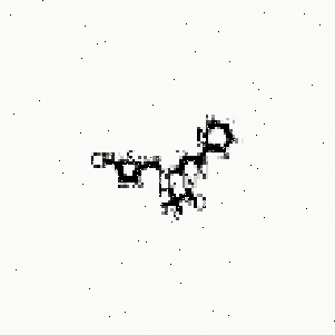 CC(C)(C)C(=O)n1nc(-c2ccccn2)cc1NCc1ccc(Cl)s1